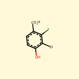 CCc1c(O)ccc(C(=O)O)c1F